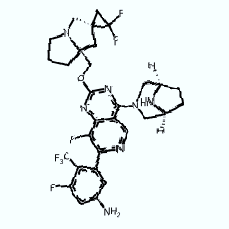 Nc1cc(F)c(C(F)(F)F)c(-c2ncc3c(N4C[C@H]5CC[C@@H](C4)N5)nc(OC[C@@]45CCCN4C[C@@]4(CC4(F)F)C5)nc3c2F)c1